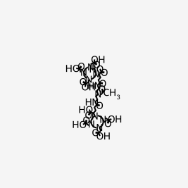 CC(=O)CN(CCNC(=O)CCC(C(=O)O)N1CCN(CC(=O)O)CCN(CC(=O)O)CCN(CC(=O)O)CC1)CCNC(=O)CCC(C(=O)O)N1CCN(CC(=O)O)CCN(CC(=O)O)CCN(CC(=O)O)CC1